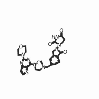 O=C1CCN(N2Cc3cc(CN4CCN(c5nc(N6CCOCC6)nc6ccsc56)CC4)ccc3C2=O)C(=O)N1